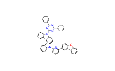 c1ccc(-c2nc(-c3ccccc3)nc(-n3c4ccccc4c4c5c6ccccc6n(-c6cccc(-c7ccc8oc9ccccc9c8c7)n6)c5ccc43)n2)cc1